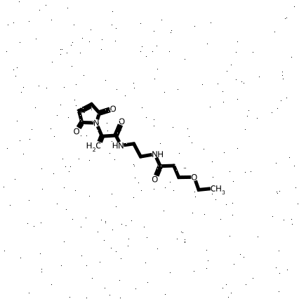 C=C(C(=O)NCCNC(=O)CCOCC)N1C(=O)C=CC1=O